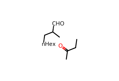 CCC(C)=O.CCCCCCCC(C)C=O